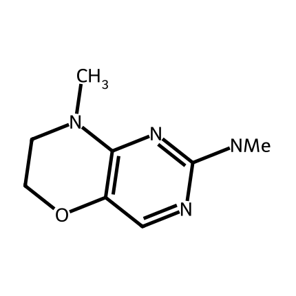 CNc1ncc2c(n1)N(C)CCO2